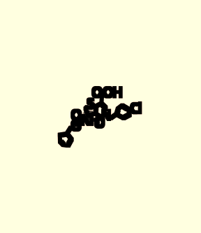 O=C(N[C@H]1CSc2c(C(=O)O)cn(Cc3ccc(Cl)cc3)c(=O)c21)OCc1ccccc1